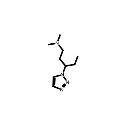 CCC(CCN(C)C)n1ccnn1